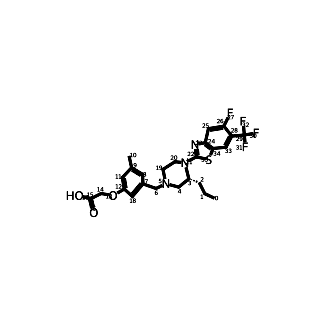 CCC[C@@H]1CN(Cc2cc(C)cc(OCC(=O)O)c2)CCN1c1nc2cc(F)c(C(F)(F)F)cc2s1